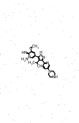 COc1cc(-c2[nH]nc(-c3ccc(N4CCNCC4)cn3)c2C(C)C)cn(N)c1=N